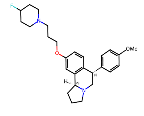 COc1ccc([C@@H]2CN3CCC[C@H]3c3cc(OCCCN4CCC(F)CC4)ccc32)cc1